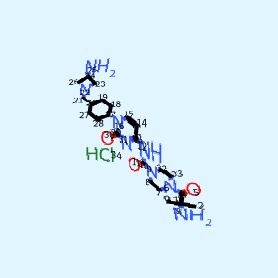 CC(C)(N)C(=O)N1CCN(C(=O)Nc2ccn([C@H]3CC[C@H](CN4CC(N)C4)CC3)c(=O)n2)CC1.Cl